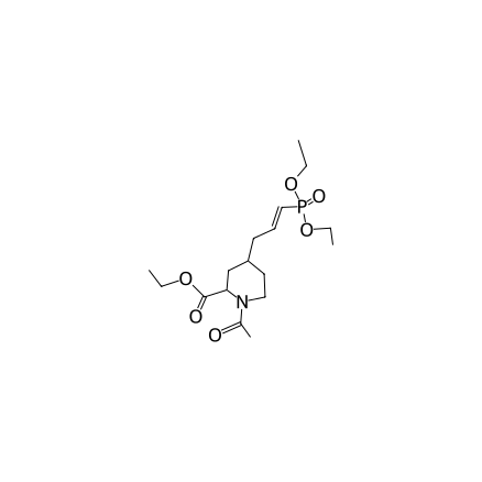 CCOC(=O)C1CC(CC=CP(=O)(OCC)OCC)CCN1C(C)=O